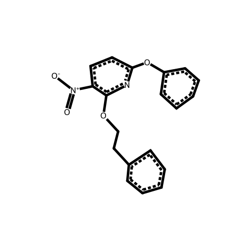 O=[N+]([O-])c1ccc(Oc2ccccc2)nc1OCCc1ccccc1